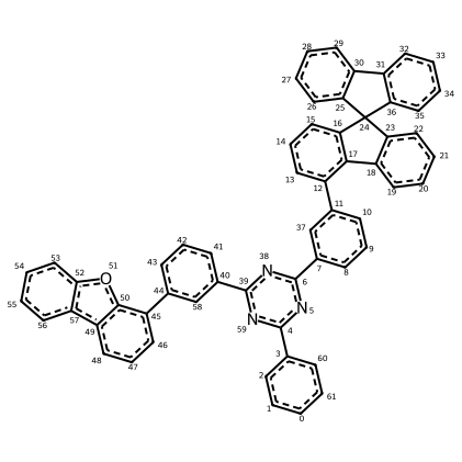 c1ccc(-c2nc(-c3cccc(-c4cccc5c4-c4ccccc4C54c5ccccc5-c5ccccc54)c3)nc(-c3cccc(-c4cccc5c4oc4ccccc45)c3)n2)cc1